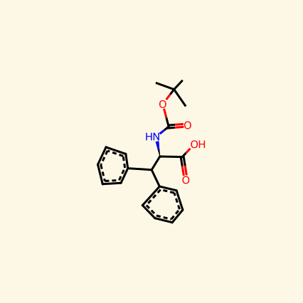 CC(C)(C)OC(=O)N[C@@H](C(=O)O)C(c1ccccc1)c1ccccc1